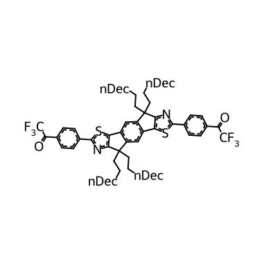 CCCCCCCCCCCCC1(CCCCCCCCCCCC)c2cc3c(cc2-c2sc(-c4ccc(C(=O)C(F)(F)F)cc4)nc21)C(CCCCCCCCCCCC)(CCCCCCCCCCCC)c1nc(-c2ccc(C(=O)C(F)(F)F)cc2)sc1-3